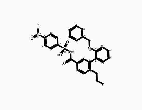 CCCc1ccc(C(=O)NS(=O)(=O)c2ccc([N+](=O)[O-])cc2)cc1-c1ccccc1OCc1ccccc1